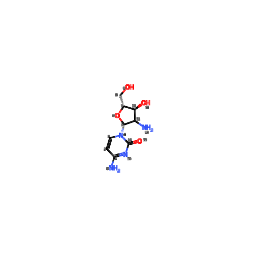 Nc1ccn([C@@H]2O[C@H](CO)[C@@H](O)C2N)c(=O)n1